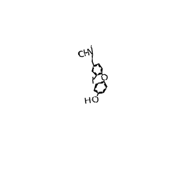 CN(Cl)CCc1ccc(Oc2ccc(O)cc2)c(I)c1